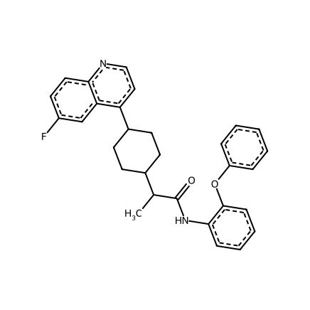 CC(C(=O)Nc1ccccc1Oc1ccccc1)C1CCC(c2ccnc3ccc(F)cc23)CC1